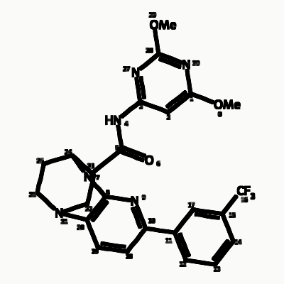 COc1cc(NC(=O)N2c3nc(-c4cccc(C(F)(F)F)c4)ccc3N3CCC2CC3)nc(OC)n1